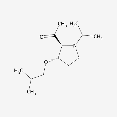 CC(=O)[C@@H]1[C@@H](OCC(C)C)CCN1C(C)C